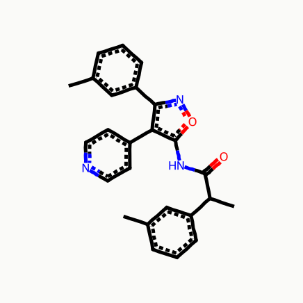 Cc1cccc(-c2noc(NC(=O)C(C)c3cccc(C)c3)c2-c2ccncc2)c1